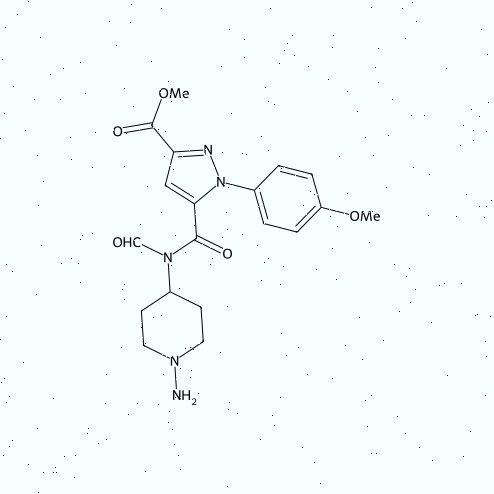 COC(=O)c1cc(C(=O)N(C=O)C2CCN(N)CC2)n(-c2ccc(OC)cc2)n1